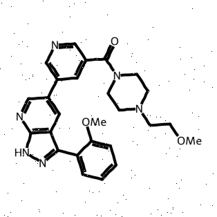 COCCN1CCN(C(=O)c2cncc(-c3cnc4[nH]nc(-c5ccccc5OC)c4c3)c2)CC1